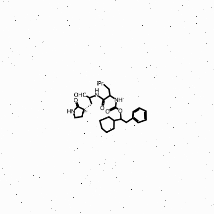 CC(C)CC(NC(=O)OC(Cc1ccccc1)C1CCCCC1)C(=O)NC(C=O)C[C@@H]1CCNC1=O